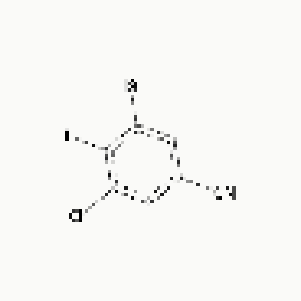 N#Cc1cc(Cl)c(I)c(Br)c1